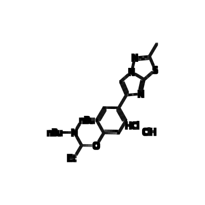 CCCCN(CCCC)C(CC)Oc1ccc(-c2cn3nc(C)sc3n2)cc1.Cl.Cl